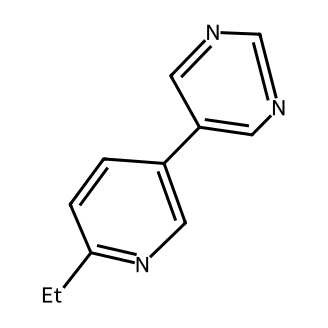 CCc1ccc(-c2cncnc2)cn1